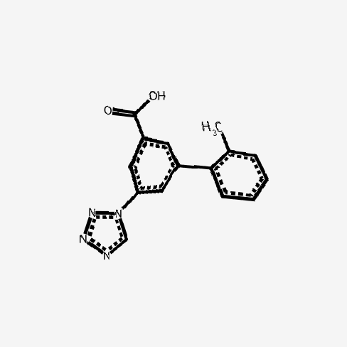 Cc1ccccc1-c1cc(C(=O)O)cc(-n2cnnn2)c1